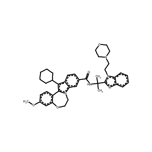 COc1ccc2c(c1)OCCn1c-2c(C2CCCCC2)c2ccc(C(=O)NC(C)(C)c3nc4ccccc4n3CCN3CCOCC3)cc21